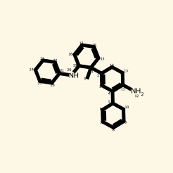 CC1(C2=CC(C3C=CC=CC3)=C(N)CC2)C=CC=CC1NC1=CCCC=C1